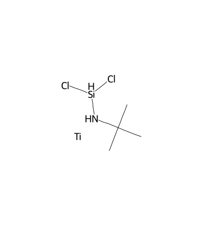 CC(C)(C)N[SiH](Cl)Cl.[Ti]